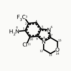 Nc1c(C(F)(F)F)cc2nc3n(c2c1Cl)CCOC3